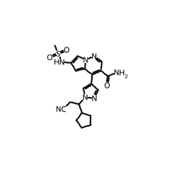 CS(=O)(=O)Nc1cc2c(-c3cnn(C(CC#N)C4CCCC4)c3)c(C(N)=O)cnn2c1